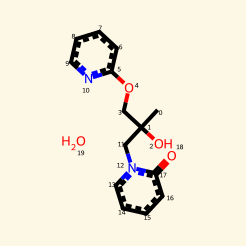 CC(O)(COc1ccccn1)Cn1ccccc1=O.O